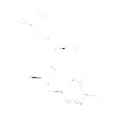 COc1ccc(C[C@@H](C)NC[C@H](O)c2cccc(Cl)c2)cc1OC